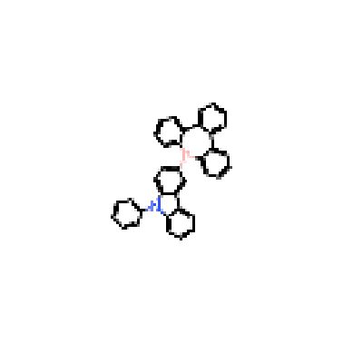 c1ccc(-n2c3ccccc3c3cc(B4c5ccccc5-c5ccccc5-c5ccccc54)ccc32)cc1